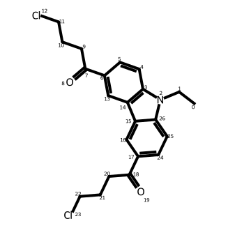 CCn1c2ccc(C(=O)CCCCl)cc2c2cc(C(=O)CCCCl)ccc21